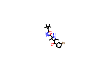 Cc1[nH]c(-c2nnc(C3C(C)(C)C3(C)C)o2)c(C)c1C(=O)c1cccc(Br)c1